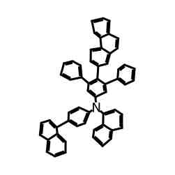 c1ccc(-c2cc(N(c3ccc(-c4cccc5ccccc45)cc3)c3cccc4ccccc34)cc(-c3ccccc3)c2-c2ccc3c(ccc4ccccc43)c2)cc1